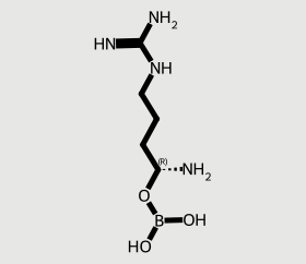 N=C(N)NCCC[C@H](N)OB(O)O